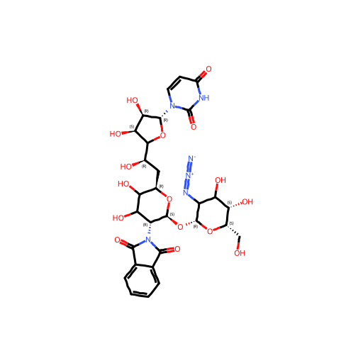 [N-]=[N+]=NC1C(O)[C@H](O)[C@H](CO)O[C@@H]1O[C@@H]1O[C@H](C[C@@H](O)C2O[C@@H](n3ccc(=O)[nH]c3=O)[C@H](O)[C@@H]2O)C(O)C(O)[C@H]1N1C(=O)c2ccccc2C1=O